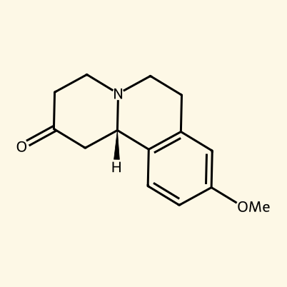 COc1ccc2c(c1)CCN1CCC(=O)C[C@@H]21